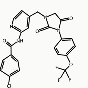 O=C(Nc1cc(CN2CC(=O)N(c3ccc(OC(F)(F)F)cc3)C2=O)ccn1)c1ccc(Cl)cc1